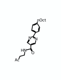 CCCCCCCCc1ccc(-c2ncc(C(=O)NCCC(C)=O)cn2)cc1